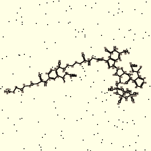 CSSC(C)c1cc(NC(=O)COCCOCCN)ccc1C(=O)OCCCCC(=O)NCC#Cc1cn([C@H]2C[C@@H](OC(=O)c3ccccc3C(C)SSC)[C@@H](COP(=O)(O)OP(=O)(O)OP(=O)(O)O)O2)c2nc(N)[nH]c(=O)c12